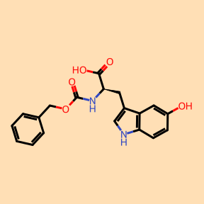 O=C(N[C@H](Cc1c[nH]c2ccc(O)cc12)C(=O)O)OCc1ccccc1